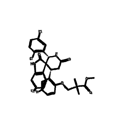 COC(=O)C(C)(C)COc1ccc(Br)cc1[C@H]1CC(=O)N[C@@H](c2cc(Cl)ccc2Cl)[C@]12C(=O)Nc1cc(Cl)ccc12